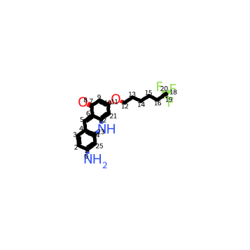 Nc1ccc2cc3c(=O)cc(OCCCCCC(F)(F)F)cc-3[nH]c2c1